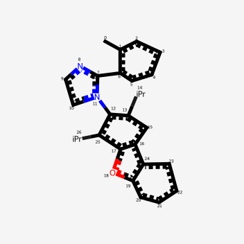 Cc1ccccc1-c1nccn1-c1c(C(C)C)cc2c(oc3ccccc32)c1C(C)C